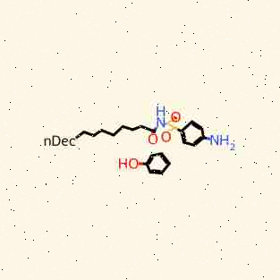 CCCCCCCCCCCCCCCCCC(=O)NS(=O)(=O)c1ccc(N)cc1.Oc1ccccc1